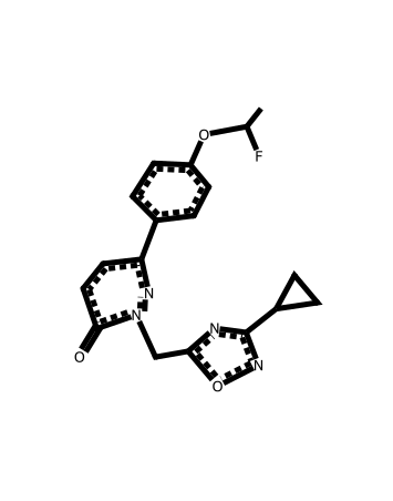 CC(F)Oc1ccc(-c2ccc(=O)n(Cc3nc(C4CC4)no3)n2)cc1